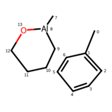 Cc1ccccc1.[CH3][Al]1[CH2]CCC[O]1